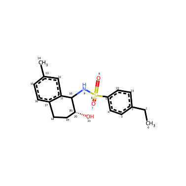 CCc1ccc(S(=O)(=O)NC2c3cc(C)ccc3CC[C@H]2O)cc1